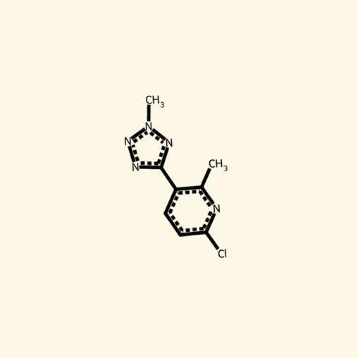 Cc1nc(Cl)ccc1-c1nnn(C)n1